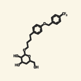 OCC1CC(O)C(O)C(OCCCCc2ccc(OCc3ccc(C(F)(F)F)cc3)cc2)O1